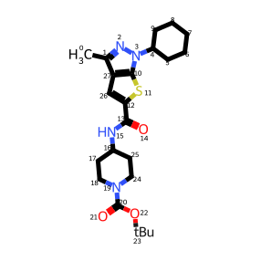 Cc1nn(C2CCCCC2)c2sc(C(=O)NC3CCN(C(=O)OC(C)(C)C)CC3)cc12